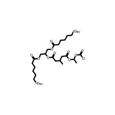 CCCCCCCCCCCCCCCC(=O)OCC(COC(=O)CCCCCCCCCCCCCCC)OC(=O)CC(C)CC(=O)OC(C)OC(=O)Cl